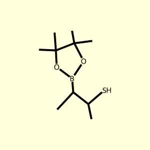 CC(S)C(C)B1OC(C)(C)C(C)(C)O1